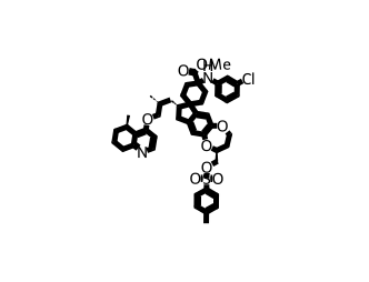 COC(=O)C1(Nc2cccc(Cl)c2)CCC2(CC1)c1cc3c(cc1C[C@@H]2C[C@@H](C)COc1ccnc2c1[C@H](C)CCC2)O[C@H](COS(=O)(=O)c1ccc(C)cc1)CCO3